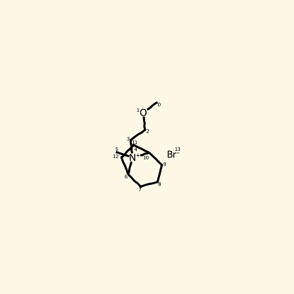 COCC[N+]1(C)C2CCCC1CC2.[Br-]